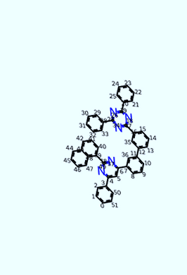 c1ccc(-c2cc(-c3cccc(-c4cccc(-c5nc(-c6ccccc6)nc(-c6ccccc6)n5)c4)c3)nc(-c3cccc4ccccc34)n2)cc1